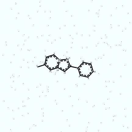 Cc1ccn2nc(-c3ccccc3)cc2c1